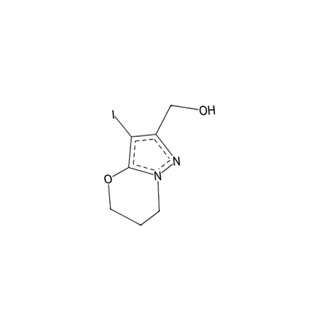 OCc1nn2c(c1I)OCCC2